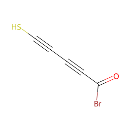 O=C(Br)C#CC#CS